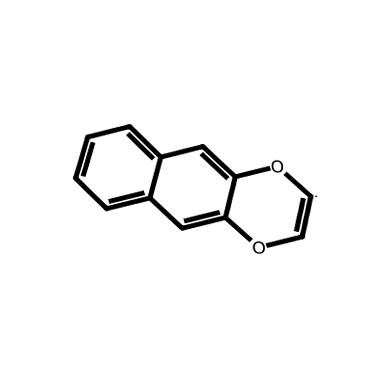 [C]1=COc2cc3ccccc3cc2O1